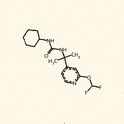 CC(C)(NC(=O)NC1CCCCC1)c1ccnc(OC(F)F)c1